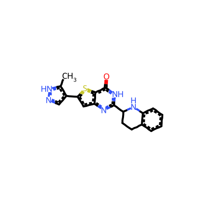 Cc1[nH]ncc1-c1cc2nc(C3CCc4ccccc4N3)[nH]c(=O)c2s1